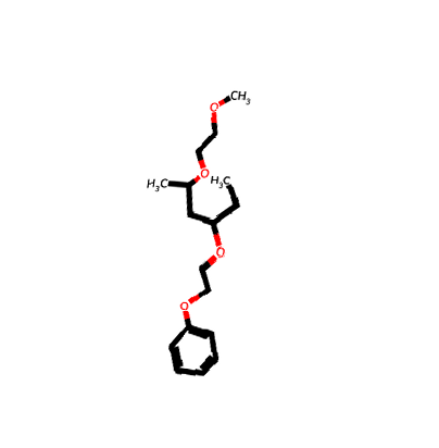 CCC(CC(C)OCCOC)OCCOc1ccccc1